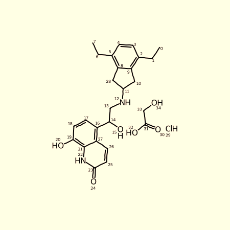 CCc1ccc(CC)c2c1CC(NCC(O)c1ccc(O)c3[nH]c(=O)ccc13)C2.Cl.O=C(O)CO